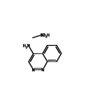 CS(=O)(=O)O.Nc1cnnc2ccccc12